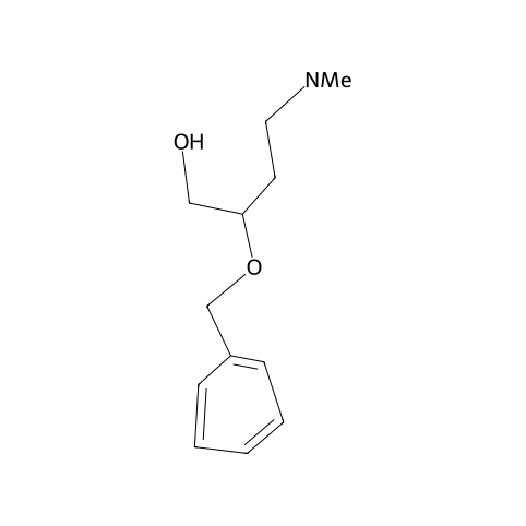 CNCCC(CO)OCc1ccccc1